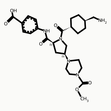 COC(=O)N1CCN([C@H]2C[C@@H](C(=O)Nc3ccc(C(=O)O)cc3)N(C(=O)[C@H]3CC[C@H](CN)CC3)C2)CC1